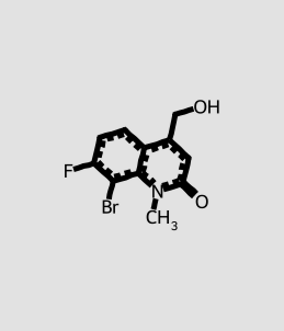 Cn1c(=O)cc(CO)c2ccc(F)c(Br)c21